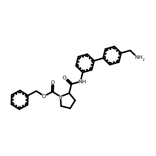 NCc1ccc(-c2cccc(NC(=O)C3CCCN3C(=O)OCc3ccccc3)c2)cc1